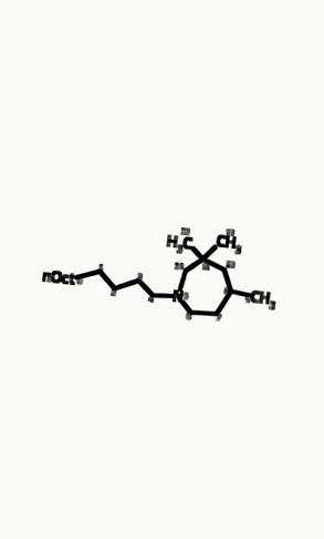 CCCCCCCCCCCCN1CCC(C)CC(C)(C)C1